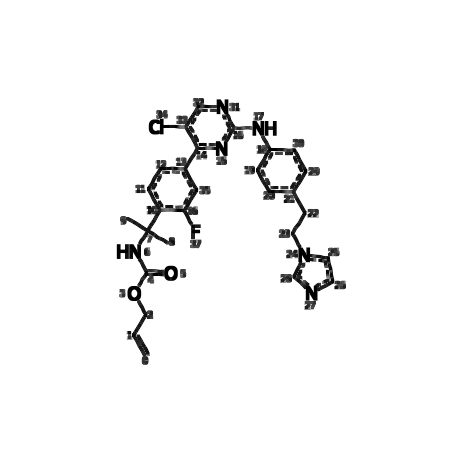 C=CCOC(=O)NC(C)(C)c1ccc(-c2nc(Nc3ccc(CCn4ccnc4)cc3)ncc2Cl)cc1F